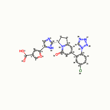 O=C(O)c1coc(-c2cnc([C@@H]3CCc4cc(-c5cc(Cl)ccc5-n5cnnn5)cc(=O)n43)[nH]2)c1